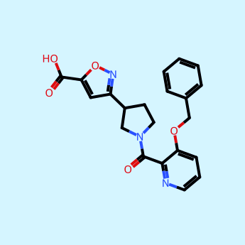 O=C(O)c1cc(C2CCN(C(=O)c3ncccc3OCc3ccccc3)C2)no1